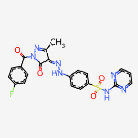 CC1=NN(C(=O)c2ccc(F)cc2)C(=O)C1=NNc1ccc(S(=O)(=O)Nc2ncccn2)cc1